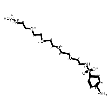 Nc1ccc(S(=O)(=O)NCCOCCOCCOCCOCCNC(=O)O)cc1